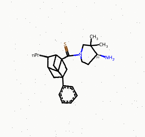 CCCC1C2CC3(c4ccccc4)CC1C(C(=S)N1CC[C@H](N)C(C)(C)C1)(C2)C3